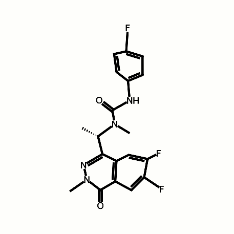 C[C@@H](c1nn(C)c(=O)c2cc(F)c(F)cc12)N(C)C(=O)Nc1ccc(F)cc1